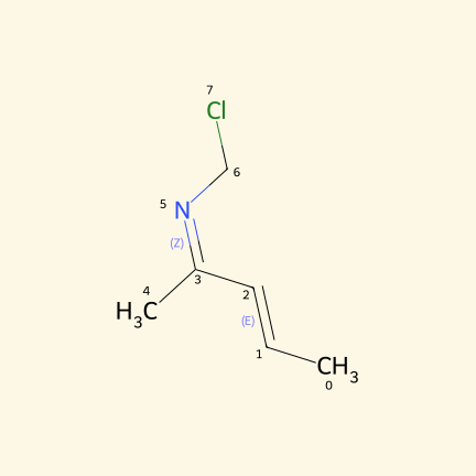 C/C=C/C(C)=N\CCl